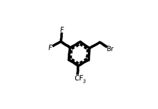 FC(F)c1cc(CBr)cc(C(F)(F)F)c1